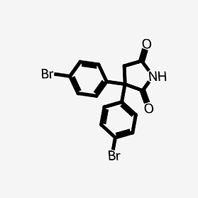 O=C1CC(c2ccc(Br)cc2)(c2ccc(Br)cc2)C(=O)N1